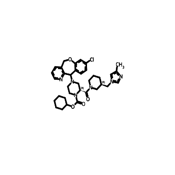 Cc1cn(C[C@@H]2CCCN(C(=O)[C@H]3CN(C4c5ccc(Cl)cc5OCc5cccnc54)CCN3C(=O)OC3CCCCC3)C2)cn1